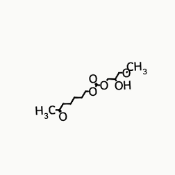 COCC(O)COC(=O)OCCCCCC(C)=O